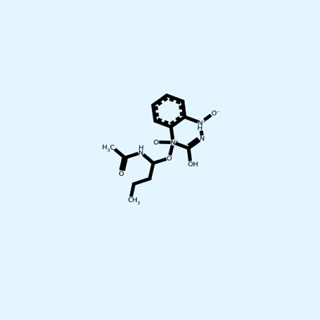 CCCC(NC(C)=O)O[N+]1([O-])C(O)=N[NH+]([O-])c2ccccc21